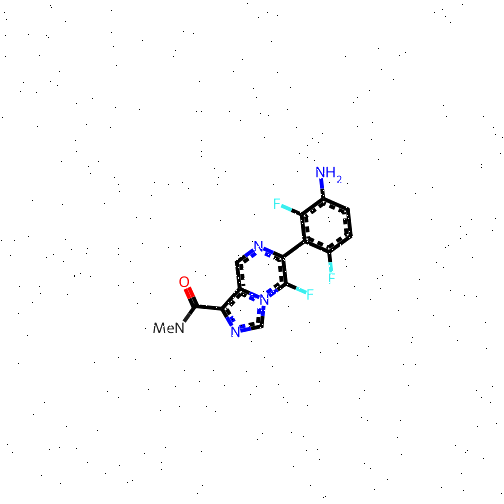 CNC(=O)c1ncn2c(F)c(-c3c(F)ccc(N)c3F)ncc12